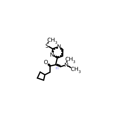 CSc1nccc(/C(=C\N(C)C)C(=O)CC2CCC2)n1